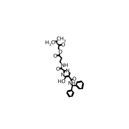 CN(C)C(=O)COC(=O)CCNC(=O)c1ncc(C(=O)NC(c2ccccc2)c2ccccc2)c(O)n1